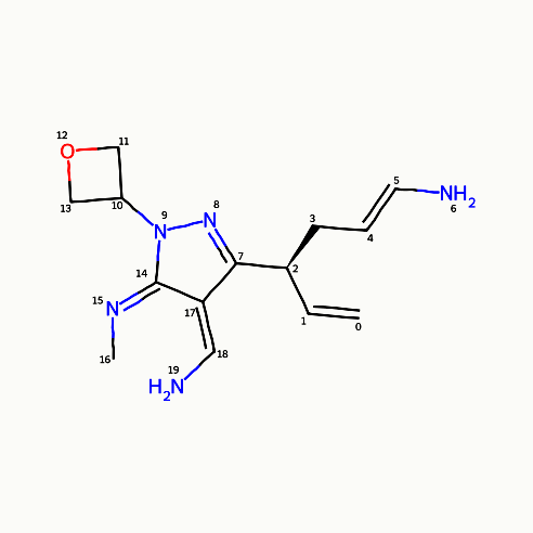 C=C[C@H](C/C=C/N)C1=NN(C2COC2)C(=N/C)/C1=C\N